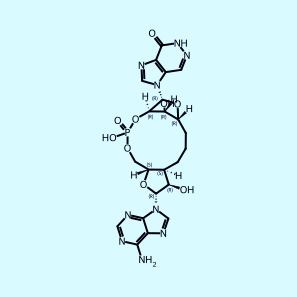 Nc1ncnc2c1ncn2[C@@H]1O[C@@H]2COP(=O)(O)O[C@@H]3[C@H](O)[C@@H](CCC[C@H]2[C@H]1O)O[C@H]3n1cnc2c(=O)[nH]ncc21